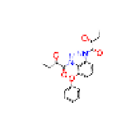 CCC(=O)C(=O)Nc1cccc(Oc2ccccc2)c1NC(=O)C(=O)CC